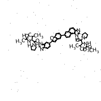 COC(=O)N[C@H](C(=O)N1CCC[C@H]1c1nc2ccc3cc(-c4ccc5oc(-c6ccc7nc([C@@H]8CCCN8C(=O)[C@@H](NC(C)=O)C(C)C)[nH]c7c6)cc5c4)ccc3c2[nH]1)C(C)C